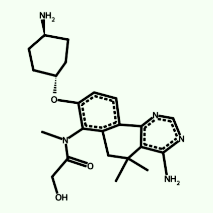 CN(C(=O)CO)c1c(O[C@H]2CC[C@H](N)CC2)ccc2c1CC(C)(C)c1c(N)ncnc1-2